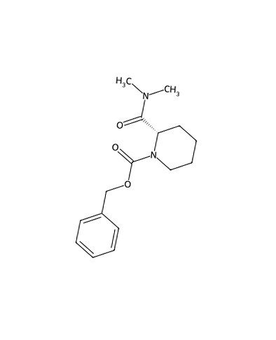 CN(C)C(=O)[C@@H]1CCCCN1C(=O)OCc1ccccc1